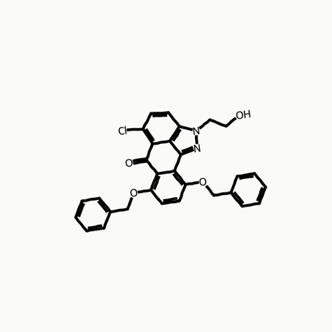 O=C1c2c(OCc3ccccc3)ccc(OCc3ccccc3)c2-c2nn(CCO)c3ccc(Cl)c1c23